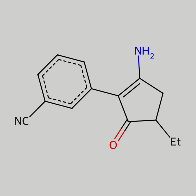 CCC1CC(N)=C(c2cccc(C#N)c2)C1=O